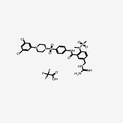 CN(c1ccc(CNC(=N)N)cc1C(=O)Nc1ccc(S(=O)(=O)N2CCN(c3cc(Cl)cc(Cl)c3)CC2)cc1)S(C)(=O)=O.O=C(O)C(F)(F)F